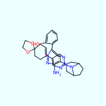 Nc1nnc(-c2ccccc2O)cc1N1CC2CCC(C1)N2c1ncc(C2=CCC3(CC2)OCCO3)cn1